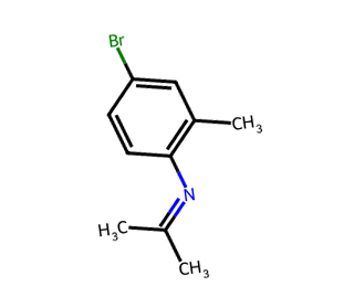 CC(C)=Nc1ccc(Br)cc1C